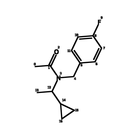 CC(=O)N(Cc1ccc(F)cc1)C(C)C1CC1